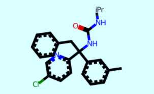 Cc1cccc(C(Cc2ccccc2)(NC(=O)NC(C)C)c2ccc(Cl)cn2)c1